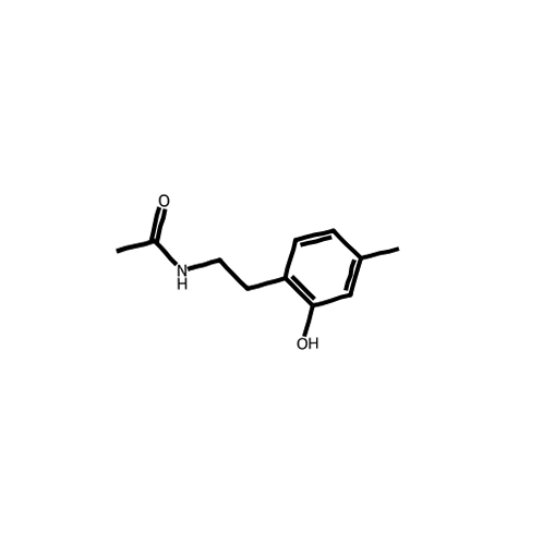 CC(=O)NCCc1ccc(C)cc1O